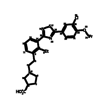 CCc1c(CCN2CCC(C(=O)O)C2)cccc1-c1nsc(-c2ccc(OC(C)C)c(Cl)c2)n1